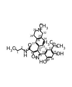 CCCNC(=O)c1onc(-c2cc(C(C)C)c(O)cc2O)c1-c1ccc2c(c1)CCN(C)C2